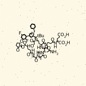 C[C@H](NC(=O)CCCC(=O)ON1C(=O)CCC1=O)C(=O)N[C@H](C)C(=O)N[C@@H](CC(N)=O)C(=O)N[C@@H](CCN(C(=O)CO)[C@@H](c1cc(-c2cc(F)ccc2F)cn1Cc1ccccc1)C(C)(C)C)C(=O)NCCC(=O)N[C@@H](CCC(=O)O)C(=O)O